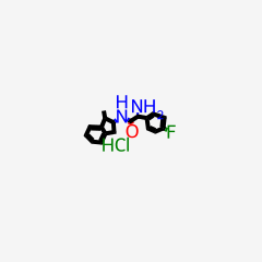 CC1c2ccccc2CC1NC(=O)[C@@H](N)c1ccc(F)cc1.Cl